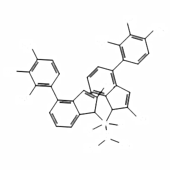 CCCCC1=Cc2c(-c3ccc(C)c(C)c3C)cccc2[CH]1[Zr]([Cl])([Cl])([CH]1C(CCCC)=Cc2c(-c3ccc(C)c(C)c3C)cccc21)[SiH](C)C